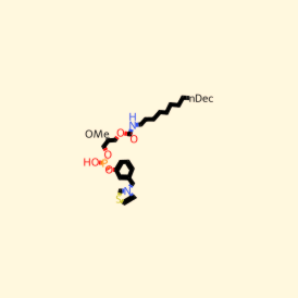 CCCCCCCCCCCCCCCCCCNC(=O)OCC(COP(O)Oc1cccc(CN2C=CSC2)c1)OC